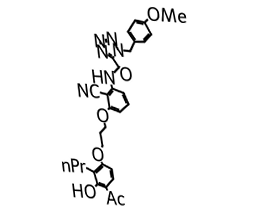 CCCc1c(OCCCOc2cccc(NC(=O)c3nnnn3Cc3ccc(OC)cc3)c2C#N)ccc(C(C)=O)c1O